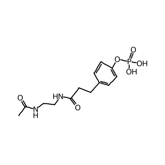 CC(=O)NCCNC(=O)CCc1ccc(OP(=O)(O)O)cc1